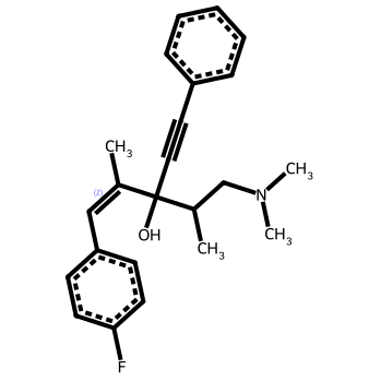 C/C(=C/c1ccc(F)cc1)C(O)(C#Cc1ccccc1)C(C)CN(C)C